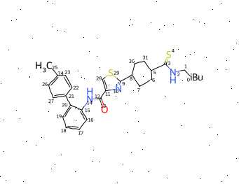 CCC(C)CNC(=S)C1CCC(c2nc(C(=O)Nc3ccccc3-c3ccc(C)cc3)cs2)CC1